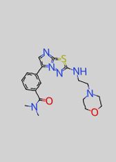 CN(C)C(=O)c1cccc(-c2cnc3sc(NCCN4CCOCC4)nn23)c1